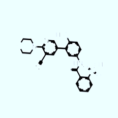 Cc1ccc(NC(=O)c2ccccc2S(C)(=O)=O)cc1-c1cnc(N2CCOCC2)c(C#N)c1